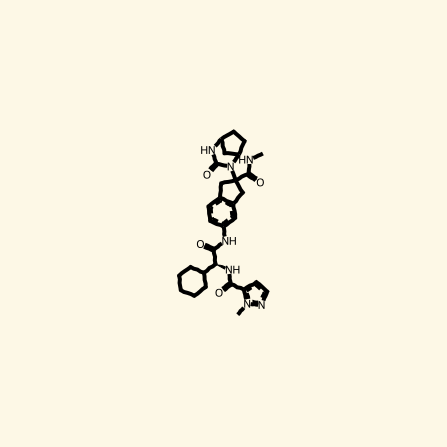 CNC(=O)C1(N2C(=O)NC3CCC2C3)Cc2ccc(NC(=O)[C@@H](NC(=O)c3ccnn3C)C3CCCCC3)cc2C1